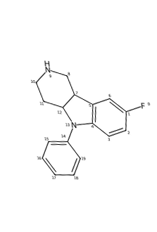 Fc1ccc2c(c1)C1CNCCC1N2c1ccccc1